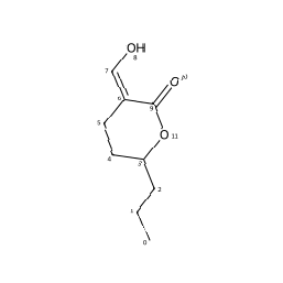 CCCC1CCC(=CO)C(=O)O1